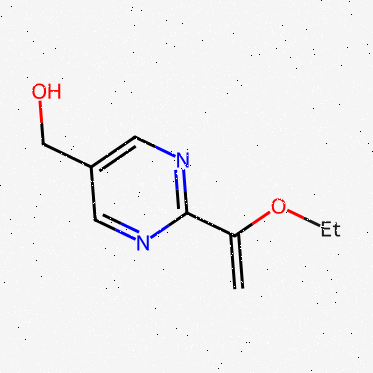 C=C(OCC)c1ncc(CO)cn1